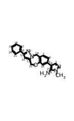 Cn1ncc(-c2ccc3c(c2)OCc2cc(-c4ccccc4)nn2C3)c1N